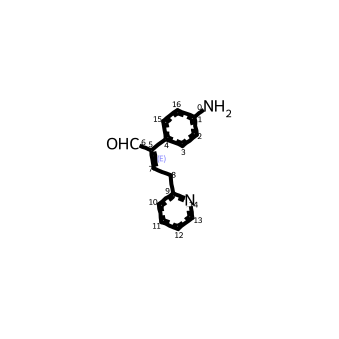 Nc1ccc(/C(C=O)=C\Cc2ccccn2)cc1